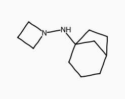 C1CN(NC23CCCC(CC2)C3)C1